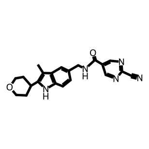 Cc1c(C2CCOCC2)[nH]c2ccc(CNC(=O)c3cnc(C#N)nc3)cc12